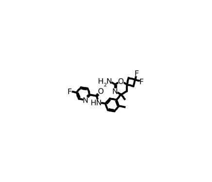 Cc1ccc(NC(=O)c2ccc(F)cn2)cc1C1(C)CC2(CC(F)(F)C2)OC(N)=N1